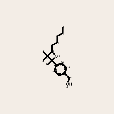 CCCCCC1OC(C)(c2ccc(CO)cc2)C1(C)C